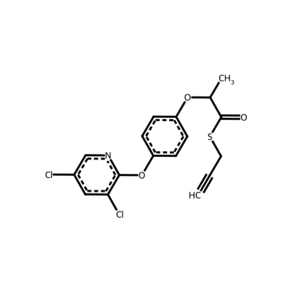 C#CCSC(=O)C(C)Oc1ccc(Oc2ncc(Cl)cc2Cl)cc1